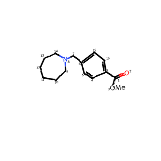 COC(=O)c1ccc(CN2CCCCCC2)cc1